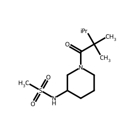 CC(C)C(C)(C)C(=O)N1CCCC(NS(C)(=O)=O)C1